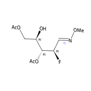 CO/N=C/[C@@H](F)[C@H](OC(C)=O)[C@H](O)COC(C)=O